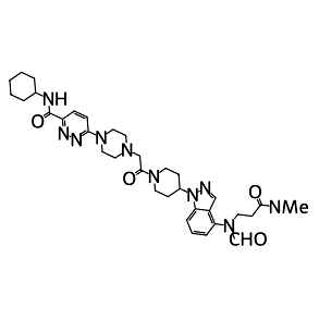 CNC(=O)CCN(C=O)c1cccc2c1cnn2C1CCN(C(=O)CN2CCN(c3ccc(C(=O)NC4CCCCC4)nn3)CC2)CC1